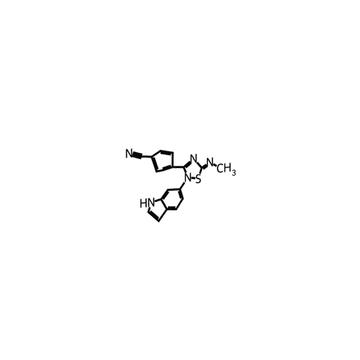 CN=c1nc(-c2ccc(C#N)cc2)n(-c2ccc3cc[nH]c3c2)s1